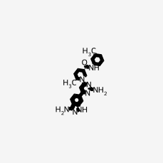 CC1CCCC(NC(=O)[C@H]2CC[C@@H](C)N(c3cc(-c4ccc5c(N)n[nH]c5c4)nc(N)n3)C2)C1